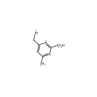 CCOC(=O)c1cc(C)cc(CC(C)C)n1